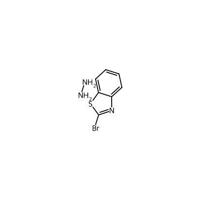 Brc1nc2ccccc2s1.NN